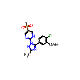 COc1cc(-c2nc(C(F)(F)F)nn2-c2ncc(S(C)(=O)=O)cn2)ccc1Cl